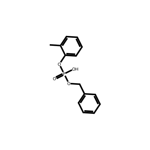 Cc1ccccc1OP(=O)(O)OCc1ccccc1